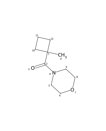 CC1(C(=O)N2CCOCC2)CCC1